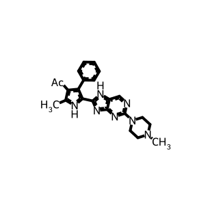 CC(=O)c1c(C)[nH]c(-c2nc3nc(N4CCN(C)CC4)ncc3[nH]2)c1-c1ccccc1